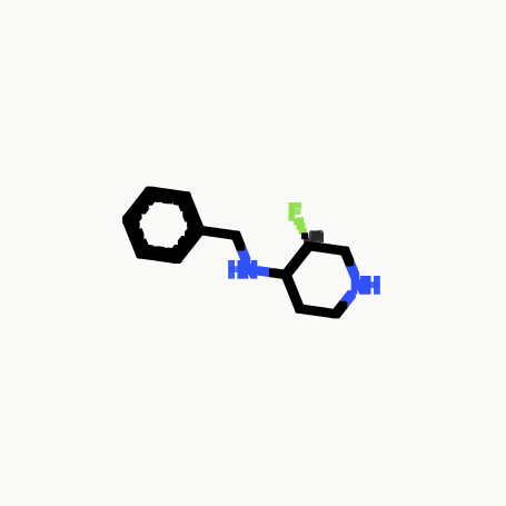 F[C@@H]1CNCCC1NCc1ccccc1